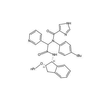 CCCO[C@H]1Cc2ccccc2[C@H]1NC(=O)C(c1cccnc1)N(C(=O)c1c[nH]cn1)c1ccc(C(C)(C)C)cc1